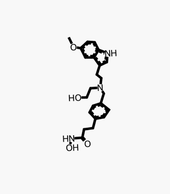 COc1ccc2[nH]cc(CCN(CCO)Cc3ccc(CCC(=O)NO)cc3)c2c1